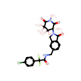 BN1C(=O)C(B)(B)C(B)(B)[C@](B)(N2Cc3cc(CNC(=O)C(F)(F)c4ccc(Cl)cc4)ccc3C2=O)C1=O